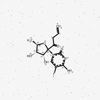 C=CCC(=O)[C@@]1(n2cc(F)c(N)nc2=O)O[C@H](C)[C@@H](O)[C@H]1O